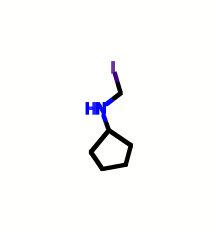 ICNC1CCCC1